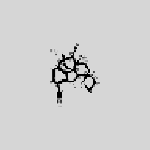 CN1CC[C@]23c4c5ccc(C#N)c4OC2C2(CCC3(O)[C@H]1C5)OCCO2